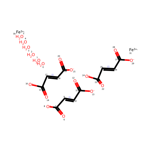 O.O.O.O.O.O.O=C([O-])/C=C/C(=O)[O-].O=C([O-])/C=C/C(=O)[O-].O=C([O-])/C=C/C(=O)[O-].[Fe+3].[Fe+3]